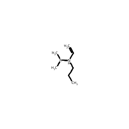 C=C[SiH](CCC)N(C)C